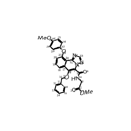 COC(=O)CNC(=O)c1c(OCc2ccccc2)c2cccc(Oc3ccc(OC)cc3)c2c2ncnn12